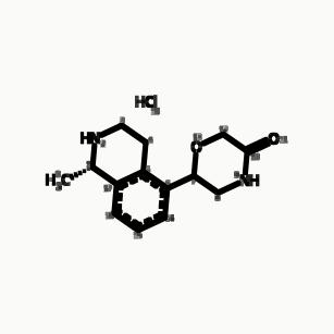 C[C@@H]1NCCc2c(C3CNC(=O)CO3)cccc21.Cl